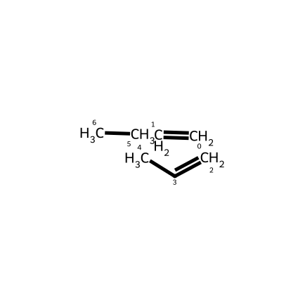 C=C.C=CC.CC